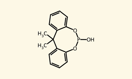 CC1(C)c2ccccc2OP(O)Oc2ccccc21